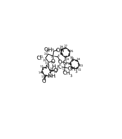 CC(C)(C)[Si](OC[C@@]1(CO)O[C@@H](n2ccc(=O)[nH]c2=O)[C@H](Cl)[C@@H]1O)(c1ccccc1)c1ccccc1